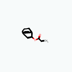 C=CC(=O)OC1CC2C=CC1CC2